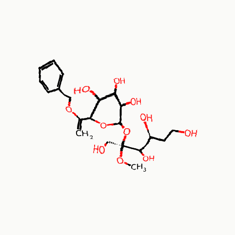 C=C(OCc1ccccc1)C1OC(O[C@](CO)(OC)C(O)[C@@H](O)CCO)C(O)C(O)C1O